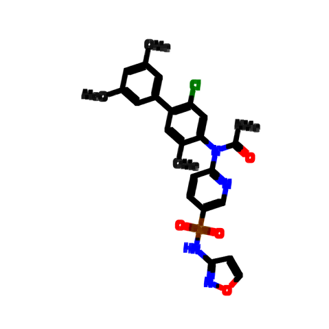 CNC(=O)N(c1ccc(S(=O)(=O)Nc2ccon2)cn1)c1cc(Cl)c(-c2cc(OC)cc(OC)c2)cc1OC